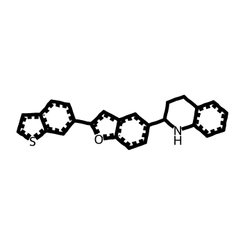 c1ccc2c(c1)CCC(c1ccc3oc(-c4ccc5ccsc5c4)cc3c1)N2